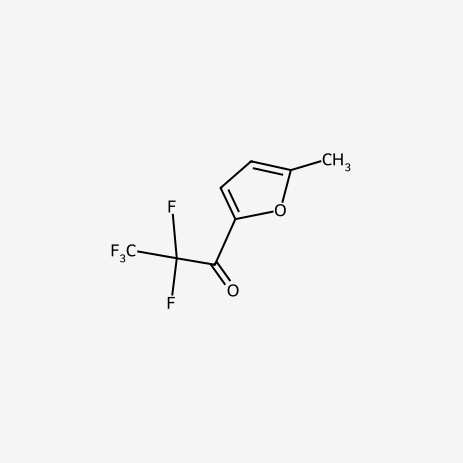 Cc1ccc(C(=O)C(F)(F)C(F)(F)F)o1